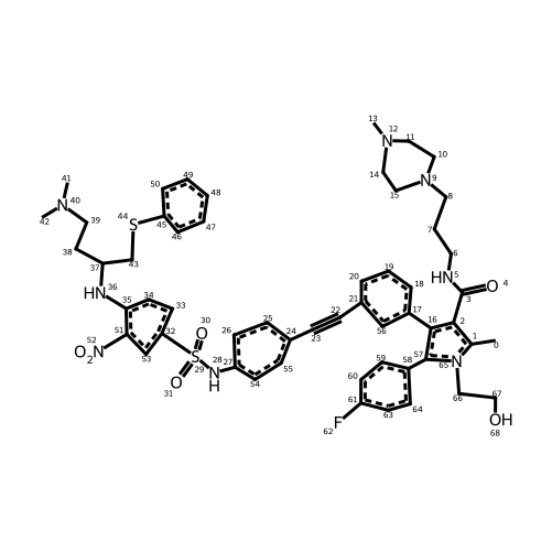 Cc1c(C(=O)NCCCN2CCN(C)CC2)c(-c2cccc(C#Cc3ccc(NS(=O)(=O)c4ccc(NC(CCN(C)C)CSc5ccccc5)c([N+](=O)[O-])c4)cc3)c2)c(-c2ccc(F)cc2)n1CCO